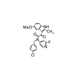 COc1ccc2[nH]c(C)c(C(=O)C(=O)N(Cc3ccc(Cl)cc3)c3ccnc(F)c3)c2c1